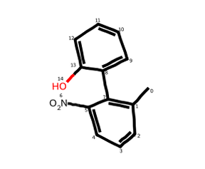 Cc1[c]ccc([N+](=O)[O-])c1-c1ccccc1O